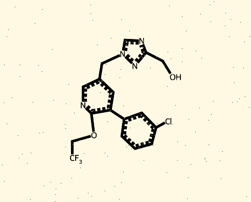 OCc1ncn(Cc2cnc(OCC(F)(F)F)c(-c3cccc(Cl)c3)c2)n1